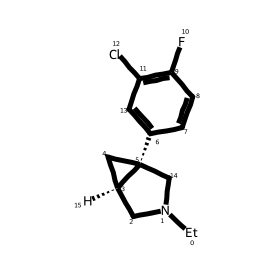 CCN1C[C@H]2C[C@@]2(c2ccc(F)c(Cl)c2)C1